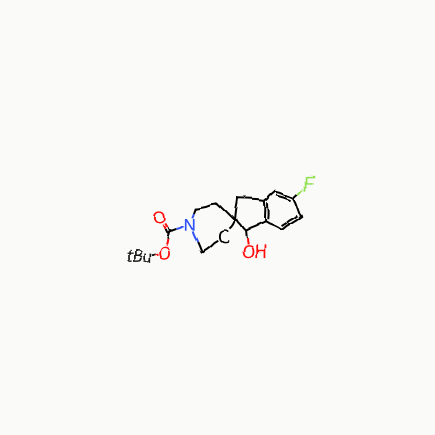 CC(C)(C)OC(=O)N1CCC2(CC1)Cc1cc(F)ccc1C2O